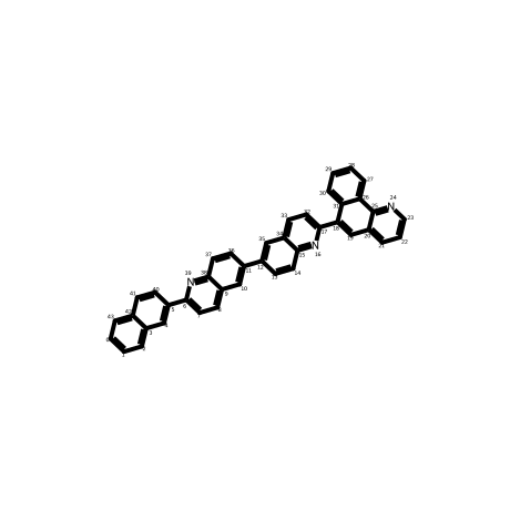 c1ccc2cc(-c3ccc4cc(-c5ccc6nc(-c7cc8cccnc8c8ccccc78)ccc6c5)ccc4n3)ccc2c1